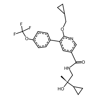 C[C@@](O)(CNC(=O)c1cnc(OCC2CC2)c(-c2ccc(OC(F)(F)F)cc2)c1)C1CC1